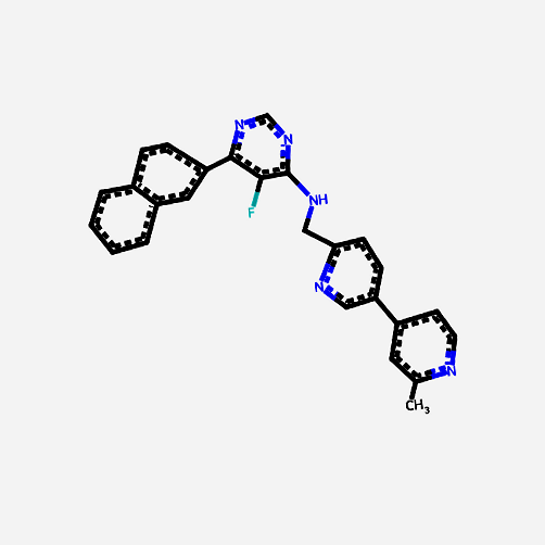 Cc1cc(-c2ccc(CNc3ncnc(-c4ccc5ccccc5c4)c3F)nc2)ccn1